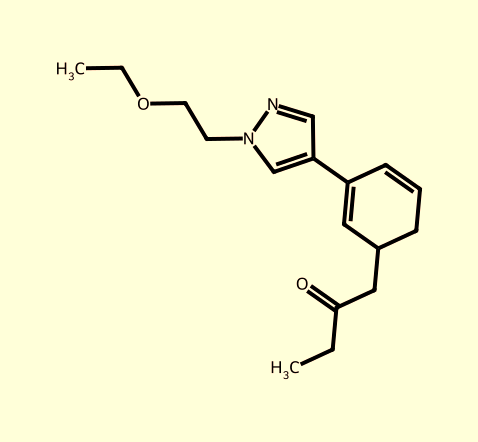 CCOCCn1cc(C2=CC(CC(=O)CC)CC=C2)cn1